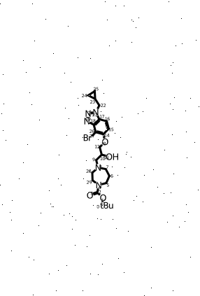 CC(C)(C)OC(=O)N1CCCN(CC(O)COc2ccc3c(nnn3CC3CC3)c2Br)CC1